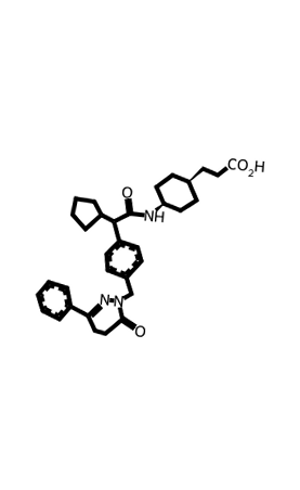 O=C(O)CC[C@H]1CC[C@@H](NC(=O)C(c2ccc(CN3N=C(c4ccccc4)CCC3=O)cc2)C2CCCC2)CC1